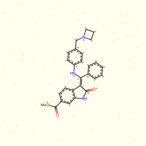 COC(=O)c1ccc2c(c1)NC(=O)C2=C(Nc1ccc(CN2CCC2)cc1)c1ccccc1